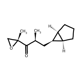 C[C@@H](C[C@@H]1[C@@H]2CCC[C@@H]21)C(=O)[C@@]1(C)CO1